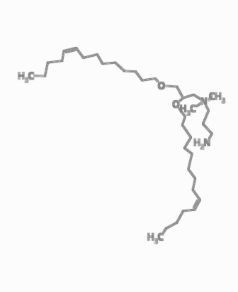 CCCC/C=C\CCCCCCCCOCC(C[N+](C)(C)CCCN)OCCCCCCCC/C=C\CCCC